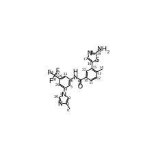 Cc1cn(-c2cc(NC(=O)c3ccc(C)c(-c4cnc(N)s4)c3)cc(C(F)(F)F)c2)cn1